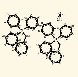 [Br-].[Cl-].c1ccc(C[P+](c2ccccc2)(c2ccccc2)c2ccccc2)cc1.c1ccc(C[P+](c2ccccc2)(c2ccccc2)c2ccccc2)cc1